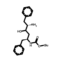 CC(C)(C)OC(=O)N[C@@H](Cc1ccccc1)CC(O)[C@@H](N)Cc1ccccc1